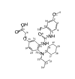 COc1ccc(NC(=O)Nc2cc(OCC(=O)O)ccc2N(CC(C)C)C2CCCCC2)c(F)c1